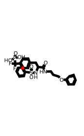 O=C(NCCCOc1ccccc1)C(Cc1ccc(C(F)(F)P(=O)(O)O)cc1)NS(=O)(=O)c1ccccc1